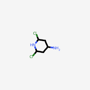 NC1CC(Cl)NC(Cl)C1